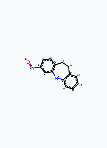 O=Nc1ccc2c(c1)Nc1ccccc1CC2